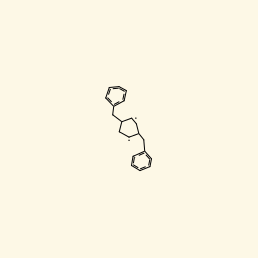 [CH]1CC(Cc2ccccc2)[CH]CC1Cc1ccccc1